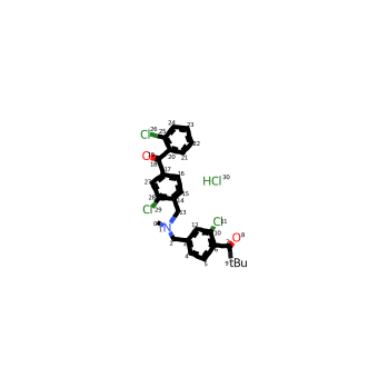 CN(Cc1ccc(C(=O)C(C)(C)C)c(Cl)c1)Cc1ccc(C(=O)c2ccccc2Cl)cc1Cl.Cl